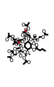 CCCC(=O)O[C@H]1[C@@H](OC)[C@H](OP(=O)(OCOC(C)=O)OCOC(C)=O)[C@@H](OP(=O)(OCOC(C)=O)OCOC(C)=O)[C@H](OP(=O)(OCOC(C)=O)OCOC(C)=O)[C@H]1OP(=O)(OCOC(C)=O)OCOC(C)=O